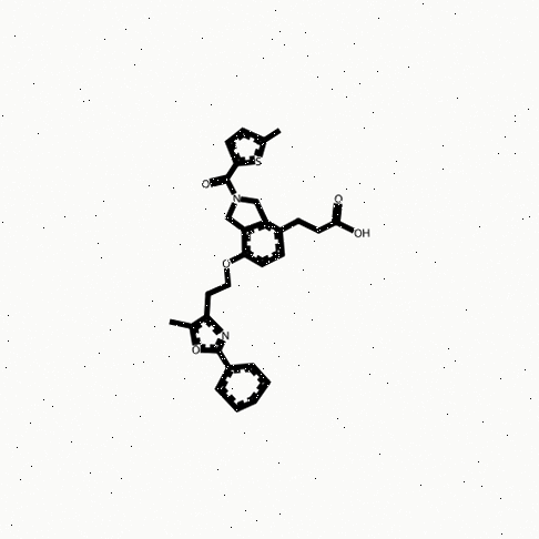 Cc1ccc(C(=O)N2Cc3c(CCC(=O)O)ccc(OCCc4nc(-c5ccccc5)oc4C)c3C2)s1